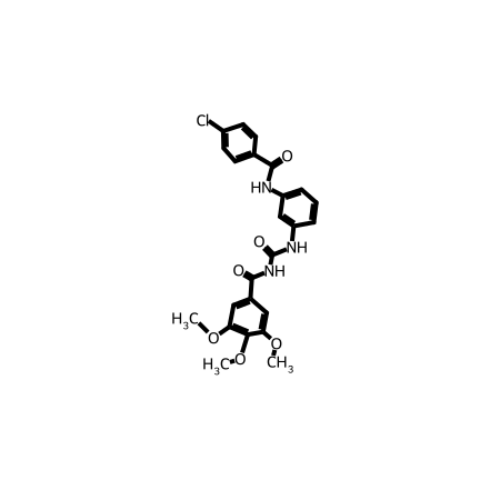 COc1cc(C(=O)NC(=O)Nc2cccc(NC(=O)c3ccc(Cl)cc3)c2)cc(OC)c1OC